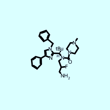 CN1CCN(C(=O)N(CC(F)CN)[C@@H](c2nc(-c3ccccc3)cn2Cc2ccccc2)C(C)(C)C)CC1